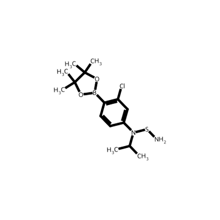 CC(C)N(SN)c1ccc(B2OC(C)(C)C(C)(C)O2)c(Cl)c1